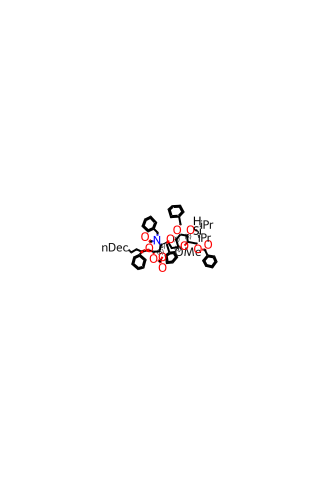 CCCCCCCCCCCCCCC1OC(=O)O[C@H]1[C@H](CC[C@]1(OC)OC(COC(=O)c2ccccc2)[C@@H](O[SiH](C(C)C)C(C)C)C(OCc2ccccc2)[C@@H]1OCc1ccccc1)N(Cc1ccccc1)C(=O)OCc1ccccc1